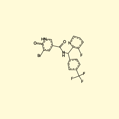 O=C(NC(c1ccc(C(F)(F)F)cc1)c1ncccc1F)c1c[nH]c(=O)c(Br)c1